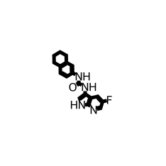 O=C(Nc1ccc2c(c1)CCCC2)Nc1c[nH]c2ncc(F)cc12